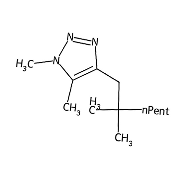 CCCCCC(C)(C)Cc1nnn(C)c1C